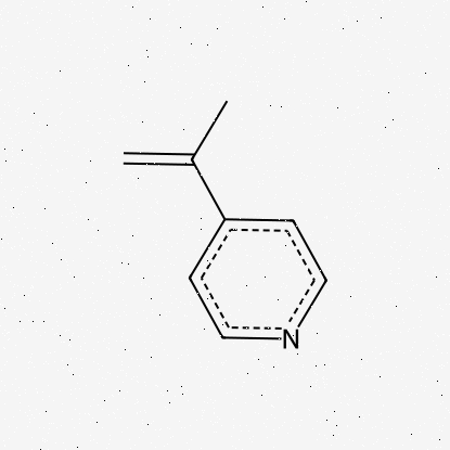 C=C(C)c1ccncc1